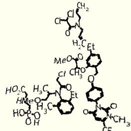 C=CCN(CC=C)C(=O)C(Cl)Cl.CCc1ccc(COc2ccc(-n3c(=O)cc(C(F)(F)F)n(C)c3=O)cc2)c(OC(C)C(=O)OC)c1.CCc1cccc(C)c1N(C(=O)CCl)C(C)COC.O=C(O)CNCP(=O)(O)O